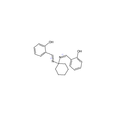 Oc1ccccc1/C=N\C1(/N=C/c2ccccc2O)CCCCC1